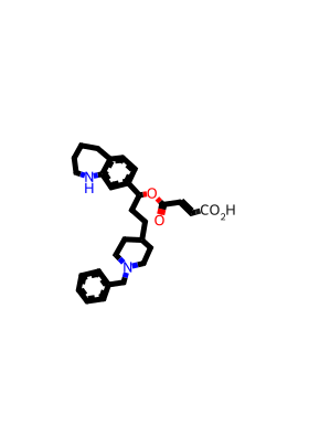 O=C(O)/C=C/C(=O)OC(CCC1CCN(Cc2ccccc2)CC1)c1ccc2c(c1)NCCCC2